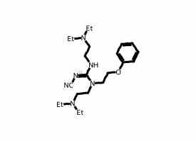 CCN(CC)CCN/C(=N/C#N)N(CCOc1ccccc1)CCN(CC)CC